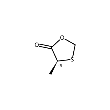 C[C@@H]1SCOC1=O